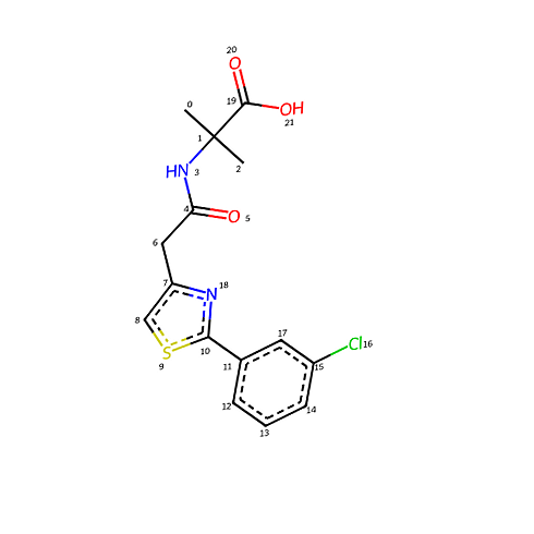 CC(C)(NC(=O)Cc1csc(-c2cccc(Cl)c2)n1)C(=O)O